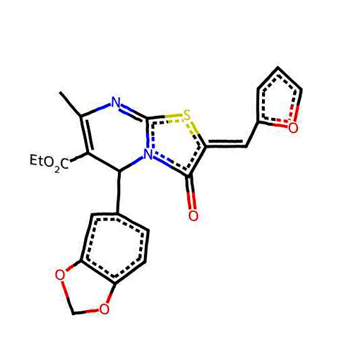 CCOC(=O)C1=C(C)N=c2s/c(=C\c3ccco3)c(=O)n2C1c1ccc2c(c1)OCO2